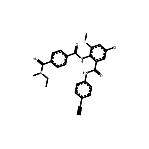 C#Cc1ccc(NC(=O)c2cc(Cl)cc(OC)c2NC(=O)c2ccc(C(=N)N(C)CC)cc2)cc1